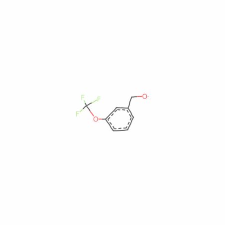 [O]Cc1cccc(OC(F)(F)F)c1